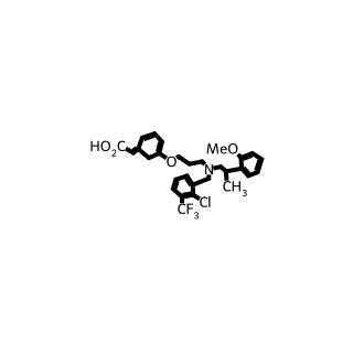 COc1ccccc1C(C)CN(CCCOC1=CC=C/C(=C\C(=O)O)C1)Cc1cccc(C(F)(F)F)c1Cl